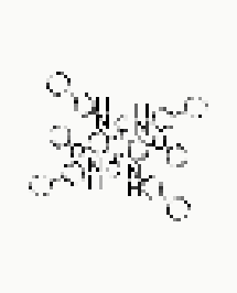 O=C1c2c(Nc3ccc(C4CCCCC4)cc3)cc(Oc3ccccc3)c(Nc3ccc(C4CCCCC4)cc3)c2C(=O)c2c(Nc3ccc(C4CCCCC4)cc3)cc(Oc3ccccc3)c(Nc3ccc(C4CCCCC4)cc3)c21